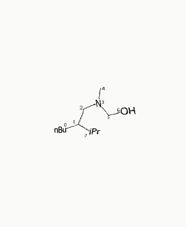 CCCCC(CN(C)CO)C(C)C